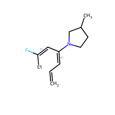 C=C/C=C(\C=C(\F)CC)N1CCC(C)C1